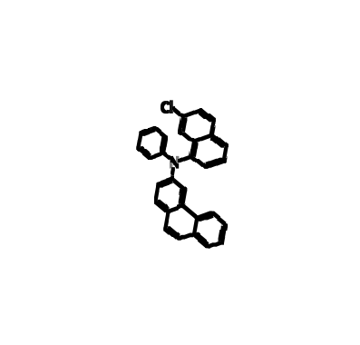 Clc1ccc2cccc(N(c3ccccc3)c3ccc4ccc5ccccc5c4c3)c2c1